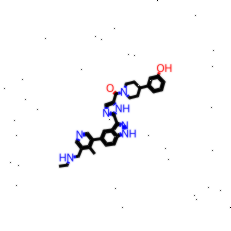 CCNCc1cncc(-c2ccc3[nH]nc(-c4ncc(C(=O)N5CCC(c6cccc(O)c6)CC5)[nH]4)c3c2)c1C